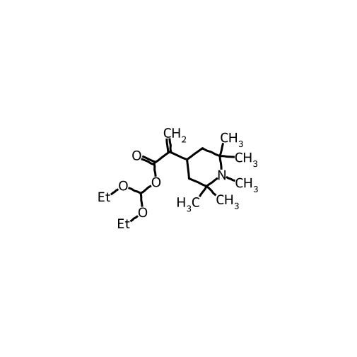 C=C(C(=O)OC(OCC)OCC)C1CC(C)(C)N(C)C(C)(C)C1